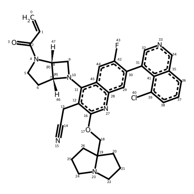 C=CC(=O)N1CC[C@@H]2[C@H]1CN2c1c(CC#N)c(OCC23CCCN2CCC3)nc2cc(-c3cncc4cccc(Cl)c34)c(F)cc12